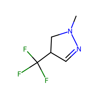 CN1CC(C(F)(F)F)C=N1